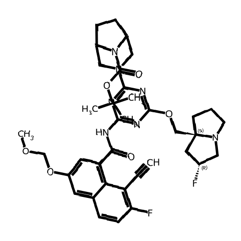 C#Cc1c(F)ccc2cc(OCOC)cc(C(=O)Nc3nc(OC[C@@]45CCCN4C[C@H](F)C5)nc(N4CC5CCC(C4)N5C(=O)OC(C)(C)C)n3)c12